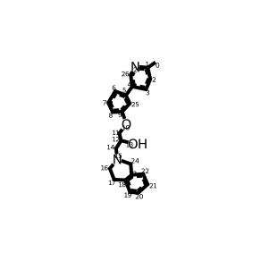 Cc1ccc(-c2cccc(OCC(O)CN3CCc4ccccc4C3)c2)cn1